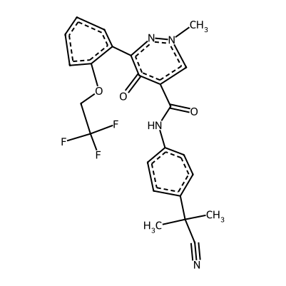 Cn1cc(C(=O)Nc2ccc(C(C)(C)C#N)cc2)c(=O)c(-c2ccccc2OCC(F)(F)F)n1